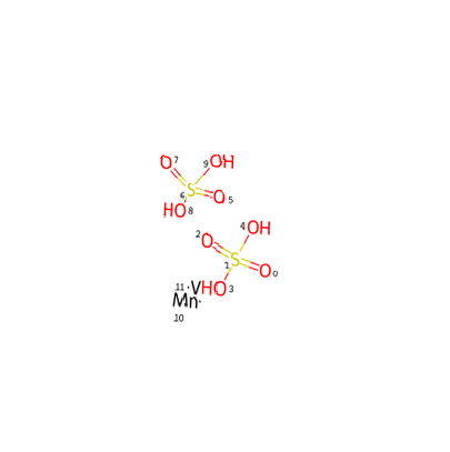 O=S(=O)(O)O.O=S(=O)(O)O.[Mn].[V]